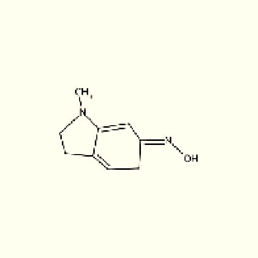 CN1CCC2=CCC(=NO)C=C21